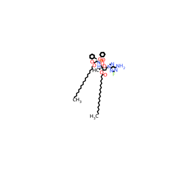 C#C[C@]1(COP(=O)(N[C@@H](Cc2ccccc2)C(=O)OCCCCCCCCCCCCCCCCCC)Oc2ccccc2)O[C@@H](n2cnc3c(N)nc(F)nc32)C[C@@H]1OC(=O)CCCCCCCCCCCCCCCCCCC